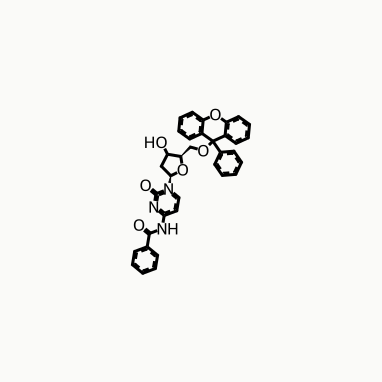 O=C(Nc1ccn([C@H]2CC(O)[C@@H](COC3(c4ccccc4)c4ccccc4Oc4ccccc43)O2)c(=O)n1)c1ccccc1